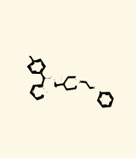 O=C(N[C@H](c1ccc(Cl)cc1)c1ccccn1)C1CCN(CCOc2ccccc2)CC1